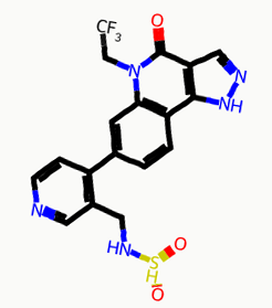 O=c1c2cn[nH]c2c2ccc(-c3ccncc3CN[SH](=O)=O)cc2n1CC(F)(F)F